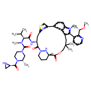 CO[C@@H](C)c1ncccc1-c1c2c3cc(ccc3n1C)-c1csc(n1)C[C@H](NC(=O)[C@H](C(C)C)N(C)C(=O)N1CCN(C(=O)[C@H]3CN3)[C@@H](C)C1)C(=O)N1CCC[C@H](N1)C(=O)OCC(C)(C)C2